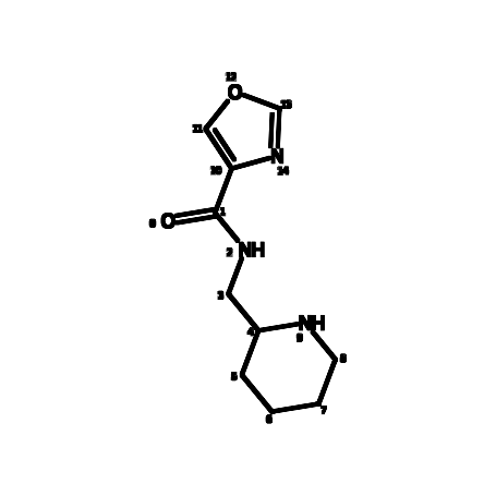 O=C(NCC1CCCCN1)c1cocn1